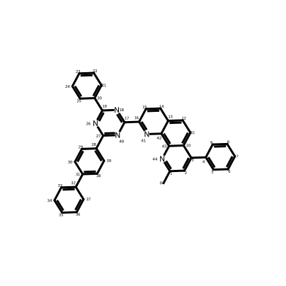 Cc1cc(-c2ccccc2)c2ccc3ccc(-c4nc(-c5ccccc5)nc(-c5ccc(-c6ccccc6)cc5)n4)nc3c2n1